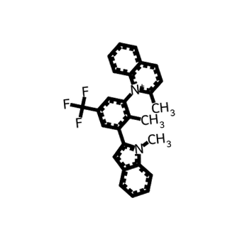 Cc1c(-c2cc3ccccc3n2C)cc(C(F)(F)F)cc1-[n+]1c(C)ccc2ccccc21